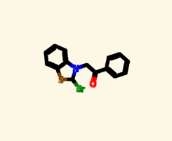 O=C(CN1c2ccccc2SC1Br)c1ccccc1